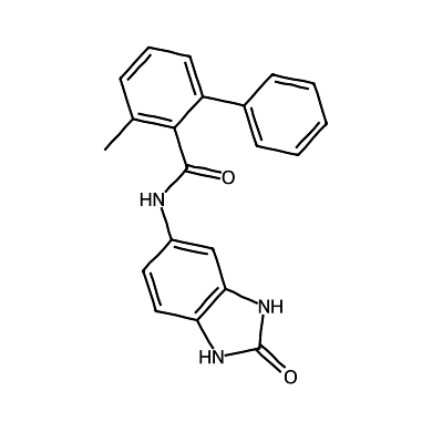 Cc1cccc(-c2ccccc2)c1C(=O)Nc1ccc2[nH]c(=O)[nH]c2c1